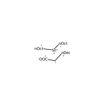 CCCCCCCCCCCC(=O)[O-].CCCCCCC[CH2][Sn+][CH2]CCCCCCC